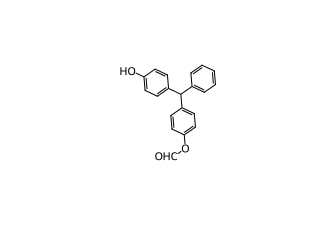 O=COc1ccc(C(c2ccccc2)c2ccc(O)cc2)cc1